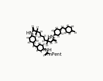 C=C(CCCCC)NC1CCC(CC2CCC(NC(=C)C(C)(C)CCCCC(C)(C)CC(=C)NC3CCC(CC4CCC(C)CC4)CC3)CC2)CC1